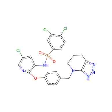 O=S(=O)(Nc1cc(Cl)cnc1Oc1ccc(CN2CCCc3nn[nH]c32)cc1)c1ccc(Cl)c(Cl)c1